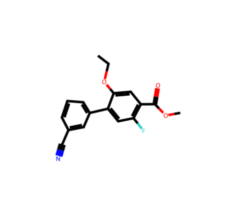 CCOc1cc(C(=O)OC)c(F)cc1-c1cccc(C#N)c1